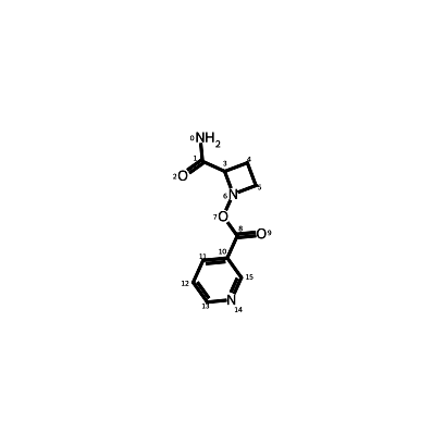 NC(=O)C1CCN1OC(=O)c1cccnc1